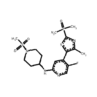 Cc1nc(P(C)(C)=O)sc1-c1cc(NC2CCN(S(C)(=O)=O)CC2)ncc1F